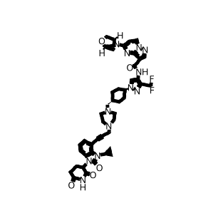 O=C1CCC(n2c(=O)n(C3CC3)c3c(C#CCN4CCN(C[C@H]5CC[C@H](n6cc(NC(=O)c7cnn8ccc(N9C[C@H]%10C[C@@H]9CO%10)nc78)c(C(F)F)n6)CC5)CC4)cccc32)C(=O)N1